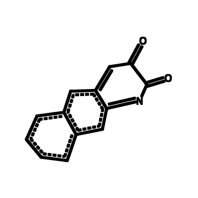 O=C1C=c2cc3ccccc3cc2=NC1=O